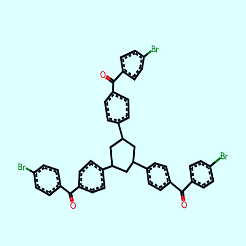 O=C(c1ccc(Br)cc1)c1ccc(C2CC(c3ccc(C(=O)c4ccc(Br)cc4)cc3)CC(c3ccc(C(=O)c4ccc(Br)cc4)cc3)C2)cc1